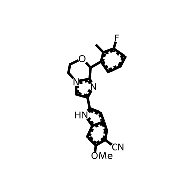 COc1cc2[nH]c(-c3cn4c(n3)C(c3cccc(F)c3C)OCC4)cc2cc1C#N